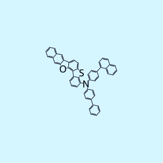 c1ccc(-c2ccc(N(c3ccc(-c4cccc5ccccc45)cc3)c3cccc4c3sc3ccc5c6cc7ccccc7cc6oc5c34)cc2)cc1